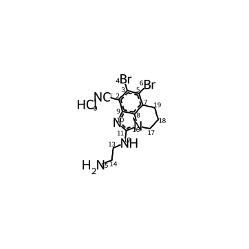 Cl.N#Cc1c(Br)c(Br)c2c3c1nc(NCCN)n3CCC2